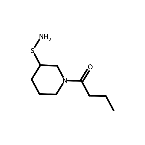 CCCC(=O)N1CCCC(SN)C1